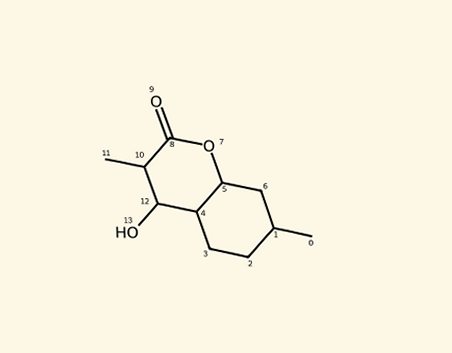 CC1CCC2C(C1)OC(=O)C(C)C2O